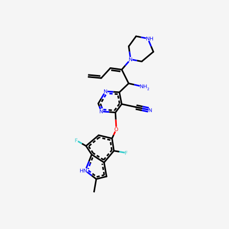 C=C/C=C(\C(N)c1ncnc(Oc2cc(F)c3[nH]c(C)cc3c2F)c1C#N)N1CCNCC1